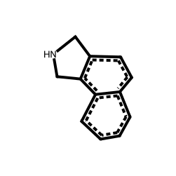 c1ccc2c3c(ccc2c1)CNC3